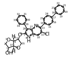 OC1CO[C@@H]2C(Oc3[nH]c4cc(Cl)c(-c5ccc(-c6ccccc6)cc5)nc4c3-c3ccccc3)CO[C@H]12